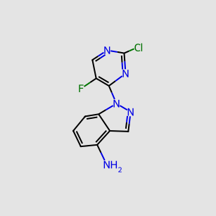 Nc1cccc2c1cnn2-c1nc(Cl)ncc1F